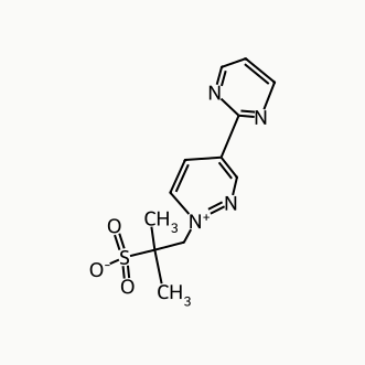 CC(C)(C[n+]1ccc(-c2ncccn2)cn1)S(=O)(=O)[O-]